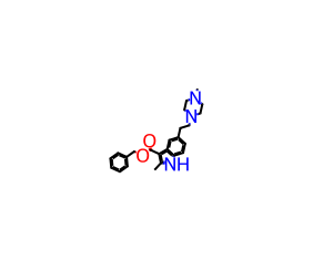 Cc1[nH]c2ccc(CCN3CCN(C)CC3)cc2c1C(=O)OCc1ccccc1